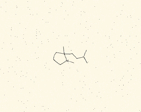 CC(C)CCC1(C)CCCN1C